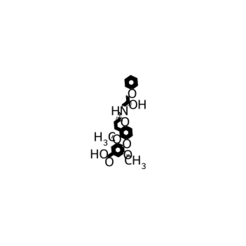 COc1cc(C(=O)O)cc(OC)c1Oc1ccc2c(c1)CC[C@H](CNC[C@H](O)COc1ccccc1)O2